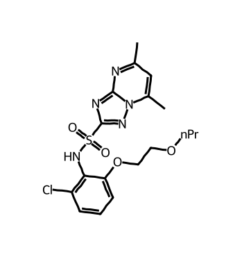 CCCOCCOc1cccc(Cl)c1NS(=O)(=O)c1nc2nc(C)cc(C)n2n1